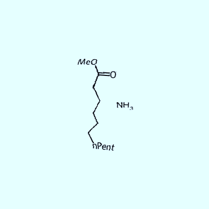 CCCCCCCCCCC(=O)OC.N